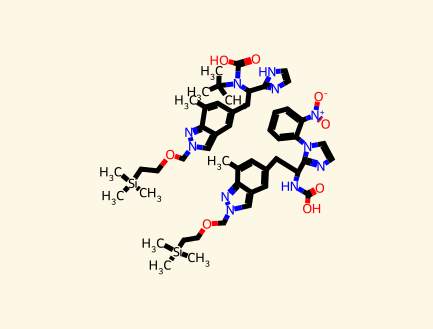 Cc1cc(CC(NC(=O)O)c2nccn2-c2ccccc2[N+](=O)[O-])cc2cn(COCC[Si](C)(C)C)nc12.Cc1cc(CC(c2ncc[nH]2)N(C(=O)O)C(C)(C)C)cc2cn(COCC[Si](C)(C)C)nc12